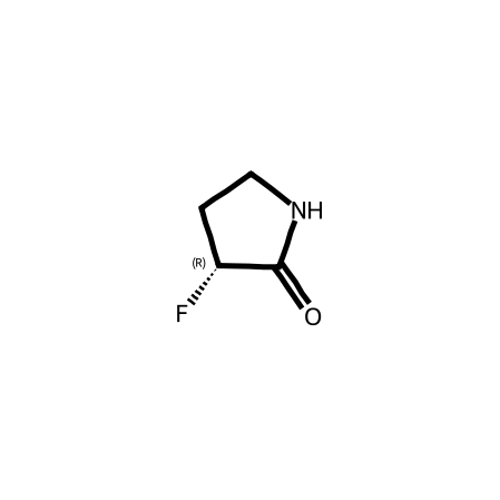 O=C1NCC[C@H]1F